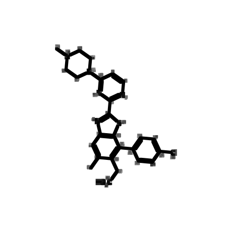 Cc1cc2nc(-c3nccc(N4CCN(C)CC4)n3)sc2c(-c2ccc(Cl)cc2)c1CC(=O)O